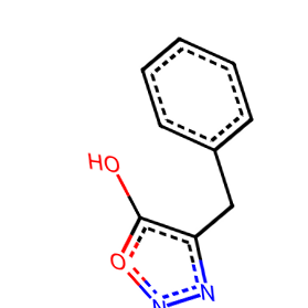 Oc1onnc1Cc1ccccc1